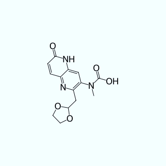 CN(C(=O)O)c1cc2[nH]c(=O)ccc2nc1CC1OCCO1